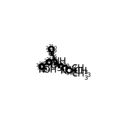 CC(C)(C)[C@H]1CCc2nc3sc(C(=O)N[C@H](CCN4CCCCC4)c4ccc(-c5cccnc5O)cc4)cc3cc2C1